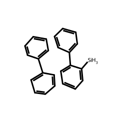 [SiH3]c1ccccc1-c1ccccc1.c1ccc(-c2ccccc2)cc1